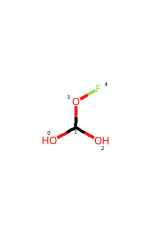 OC(O)OF